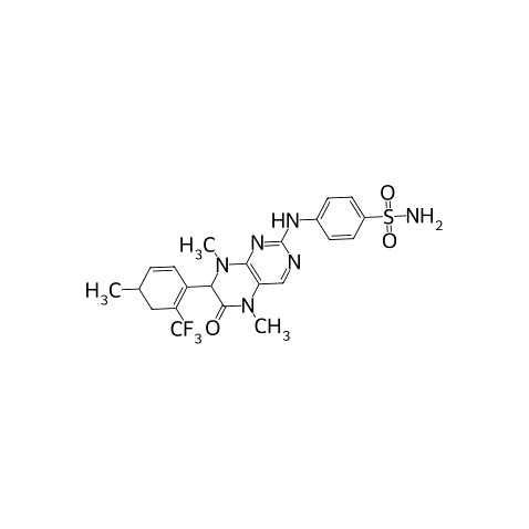 CC1C=CC(C2C(=O)N(C)c3cnc(Nc4ccc(S(N)(=O)=O)cc4)nc3N2C)=C(C(F)(F)F)C1